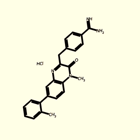 Cc1ccccc1-c1ccc2c(c1)nc(Cc1ccc(C(=N)N)cc1)c(=O)n2C.Cl